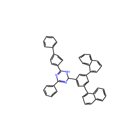 c1ccc(C2=NC(c3cc(-c4cccc5ccccc45)cc(-c4cccc5ccccc45)c3)NC(c3ccc(-c4ccccc4)cc3)=N2)cc1